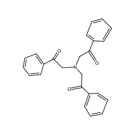 O=C(CN(CC(=O)c1ccccc1)CC(=O)c1ccccc1)c1ccccc1